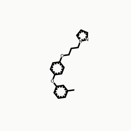 Cc1cccc(Oc2ccc(OCCCn3cccn3)cc2)c1